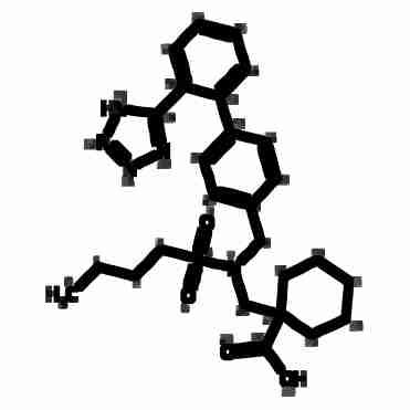 CCCCS(=O)(=O)N(Cc1ccc(-c2ccccc2-c2nnn[nH]2)cc1)CC1(C(=O)O)CCCCC1